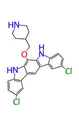 Clc1ccc2[nH]c3c(OCC4CCNCC4)c4[nH]c5ccc(Cl)cc5c4cc3c2c1